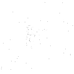 CO[C@H]1CC[C@H](C(=O)N2Cc3cccnc3Nc3ccc(N4CCC(F)CC4)cc32)CC1